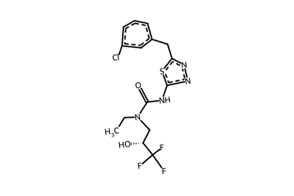 CCN(C[C@@H](O)C(F)(F)F)C(=O)Nc1nnc(Cc2cccc(Cl)c2)s1